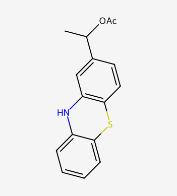 CC(=O)OC(C)c1ccc2c(c1)Nc1ccccc1S2